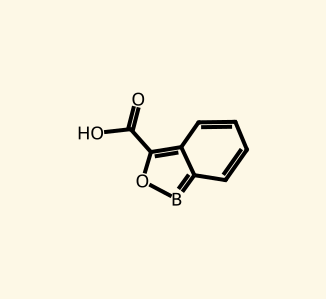 O=C(O)c1obc2ccccc12